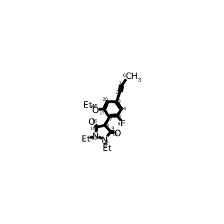 CC#Cc1cc(F)c(C2C(=O)N(CC)N(CC)C2=O)c(OCC)c1